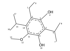 CCc1c(O)c(C(C)C)c(O)c(OC)c1C(C)C